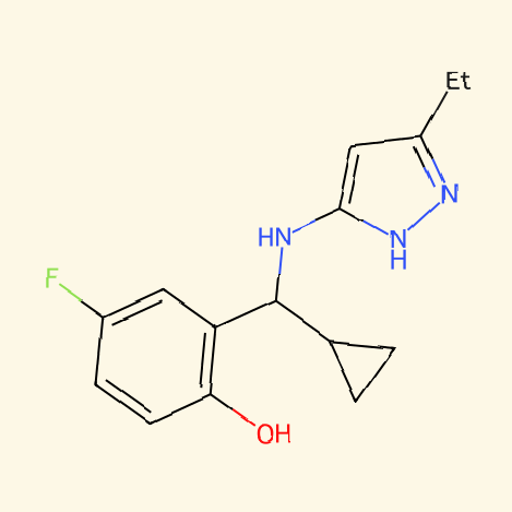 CCc1cc(NC(c2cc(F)ccc2O)C2CC2)[nH]n1